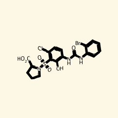 O=C(Nc1ccccc1Br)Nc1ccc(Cl)c(S(=O)(=O)N2CCCC2C(=O)O)c1O